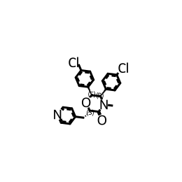 CN1C(=O)[C@H](Cc2ccncc2)O[C@@H](c2ccc(Cl)cc2)[C@H]1c1ccc(Cl)cc1